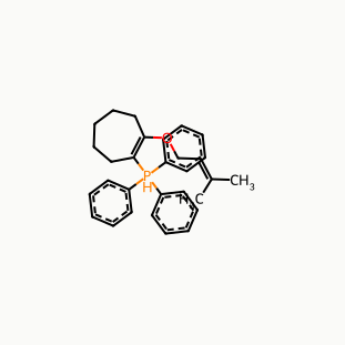 CC(C)=CCOC1=C([PH](c2ccccc2)(c2ccccc2)c2ccccc2)CCCCC1